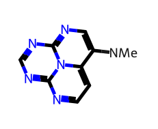 CNC1=CN=C2N=CN=C3N=CC=C1N32